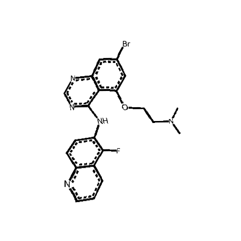 CN(C)CCOc1cc(Br)cc2ncnc(Nc3ccc4ncccc4c3F)c12